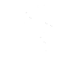 O=C(c1cnn2ccc(N3CCC[C@@H]3c3cc(F)ccc3F)cc12)N1CCC(O)(CO)C1